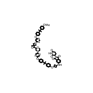 COc1ccc(C(C)(C)c2ccc(Oc3cc(N4CC5(COC5C5CN(c6cnc(Oc7ccc(C(C)(C)c8ccc(O[C@H]9C[C@H](Nc%10ccc%11c(c%10)C(=O)N(C%10CCC(=O)NC%10=O)C%11=O)C9)cc8)cc7)cn6)CCO5)C4)ncn3)cc2)cc1